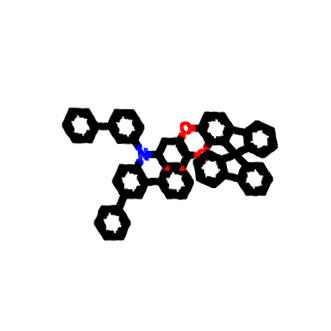 C1=CC(N(c2cccc(-c3ccccc3)c2)c2ccc(-c3ccccc3)cc2-c2ccccc2)CC2=C1Oc1c(ccc3c1C1(c4ccccc4-c4ccccc41)c1ccccc1-3)O2